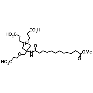 COC(=O)CCCCCCCCCCC(=O)NC(COCCC(=O)O)(COCCC(=O)O)COCCC(=O)O